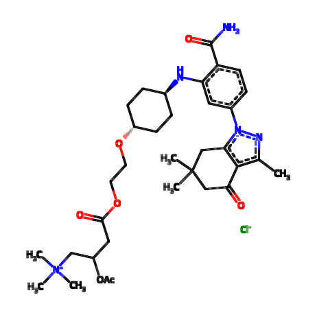 CC(=O)OC(CC(=O)OCCO[C@H]1CC[C@H](Nc2cc(-n3nc(C)c4c3CC(C)(C)CC4=O)ccc2C(N)=O)CC1)C[N+](C)(C)C.[Cl-]